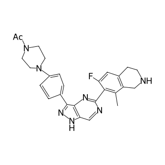 CC(=O)N1CCN(c2ccc(-c3n[nH]c4cnc(-c5c(F)cc6c(c5C)CNCC6)nc34)cc2)CC1